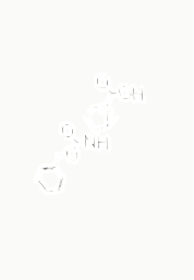 O=C(NC1CC2CC1CC2C(=O)O)OCc1ccccc1